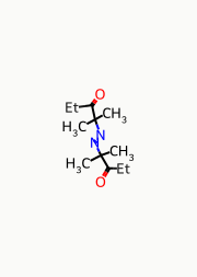 CCC(=O)C(C)(C)N=NC(C)(C)C(=O)CC